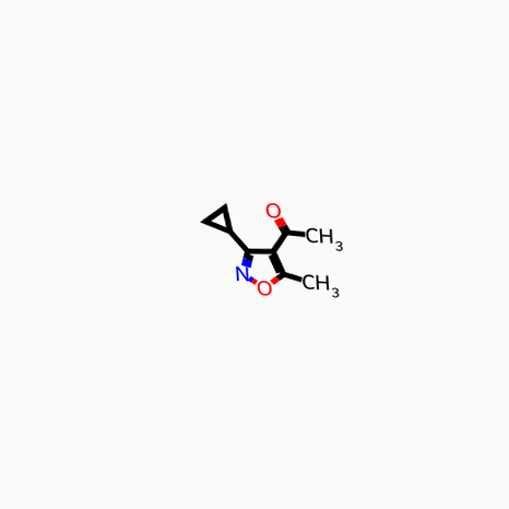 CC(=O)c1c(C2CC2)noc1C